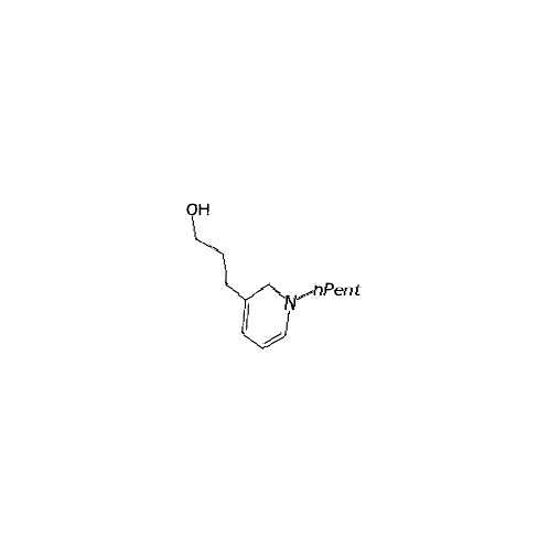 CCCCCN1C=CC=C(CCCO)C1